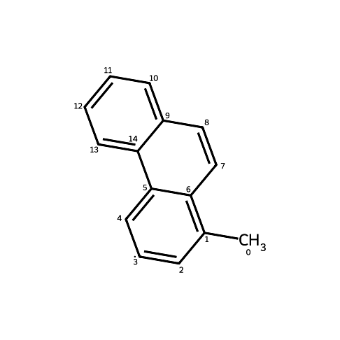 Cc1c[c]cc2c1ccc1ccccc12